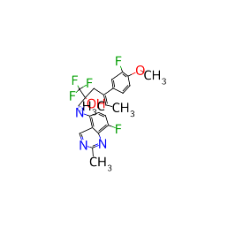 COc1ccc(C(CC(O)(/C=N\c2ccc(F)c3nc(C)ncc23)C(F)(F)F)=C(C)C)cc1F